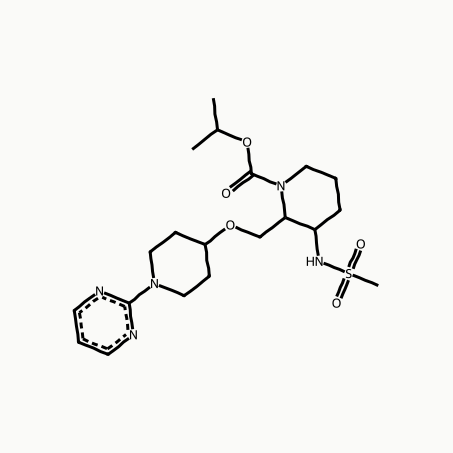 CC(C)OC(=O)N1CCCC(NS(C)(=O)=O)C1COC1CCN(c2ncccn2)CC1